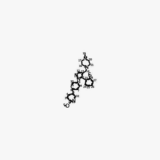 COc1ccc(-c2ccc(-n3ncc(CN4CCN(C)CC4)c3-c3ccccc3F)cc2)cn1